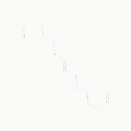 Cc1ccc(NC(=O)/C=C/C(=O)Nc2ccc(C)c(C)c2)cc1C